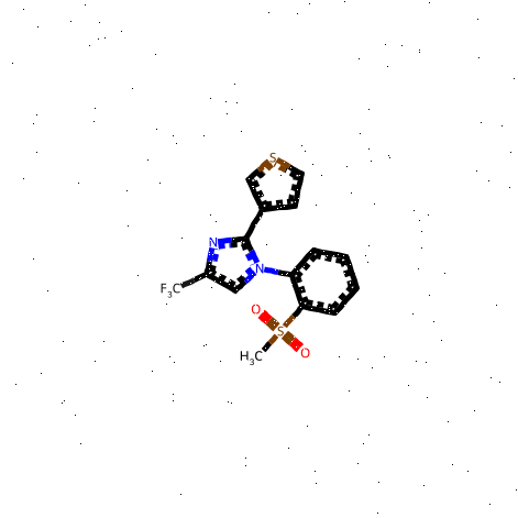 CS(=O)(=O)c1ccccc1-n1cc(C(F)(F)F)nc1-c1ccsc1